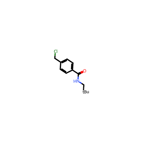 CC(C)(C)CNC(=O)c1ccc(CCl)cc1